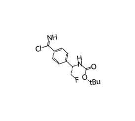 CC(C)(C)OC(=O)NC(CF)c1ccc(C(=N)Cl)cc1